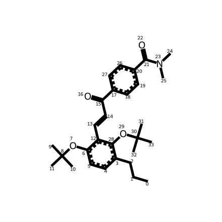 CCCc1ccc(OC(C)(C)C)c(C=CC(=O)c2ccc(C(=O)N(C)C)cc2)c1OC(C)(C)C